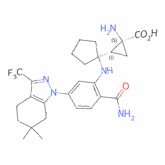 CC1(C)CCc2c(C(F)(F)F)nn(-c3ccc(C(N)=O)c(NC4([C@H]5C[C@@]5(N)C(=O)O)CCCC4)c3)c2C1